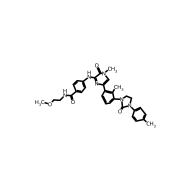 COCCNC(=O)c1ccc(Nc2nc(-c3cccc(N4CCN(c5ccc(C)cc5)C4=O)c3C)cn(C)c2=O)cc1